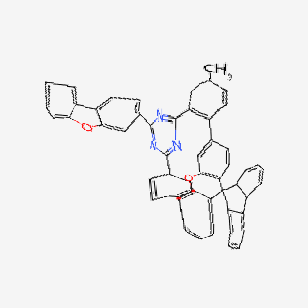 CC1C=CC(c2ccc3c(c2)Oc2ccccc2C32c3ccccc3C3C=CC=CC32)=C(c2nc(-c3ccc4c(c3)oc3ccccc34)nc(C3C=CC=CC3)n2)C1